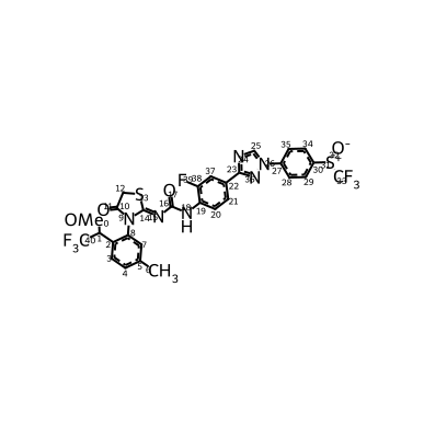 COC(c1ccc(C)cc1N1C(=O)CS/C1=N\C(=O)Nc1ccc(-c2ncn(-c3ccc([S+]([O-])C(F)(F)F)cc3)n2)cc1F)C(F)(F)F